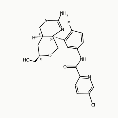 NC1=N[C@@]2(c3cc(NC(=O)c4ccc(Cl)cn4)ccc3F)CO[C@@H](CO)C[C@H]2CS1